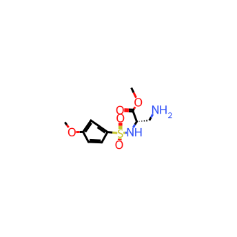 COC(=O)[C@H](CN)NS(=O)(=O)c1ccc(OC)cc1